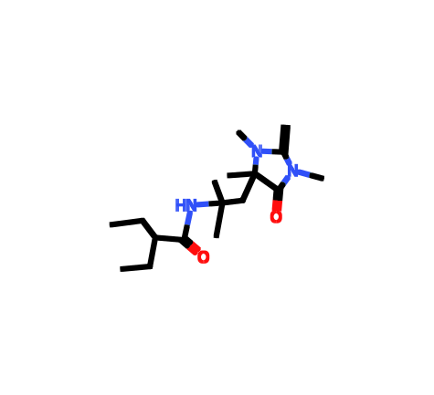 C=C1N(C)C(=O)C(C)(CC(C)(C)NC(=O)C(CC)CC)N1C